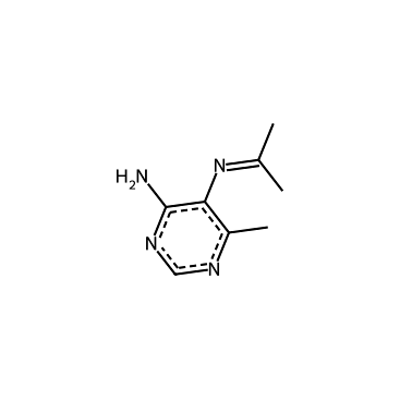 CC(C)=Nc1c(C)ncnc1N